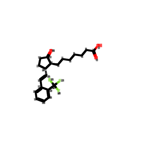 O=C(O)CCCCCC[C@@H]1C(=O)CC[C@H]1C=Cc1ccccc1C(F)(F)F